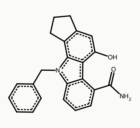 NC(=O)c1cccc2c1c1c(O)cc3c(c1n2Cc1ccccc1)CCC3